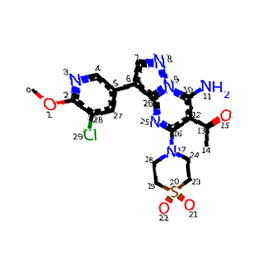 COc1ncc(-c2cnn3c(N)c(C(C)=O)c(N4CCS(=O)(=O)CC4)nc23)cc1Cl